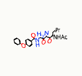 CC(=O)N[C@@H](CC(C)C)C(=O)C(N)C(=O)CNC(=O)c1ccc(Oc2ccccc2)cc1